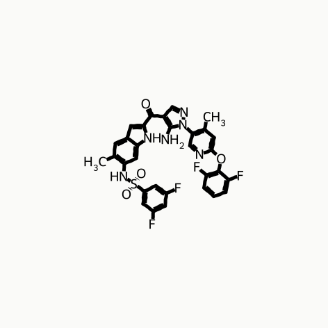 Cc1cc2cc(C(=O)c3cnn(-c4cnc(Oc5c(F)cccc5F)cc4C)c3N)[nH]c2cc1NS(=O)(=O)c1cc(F)cc(F)c1